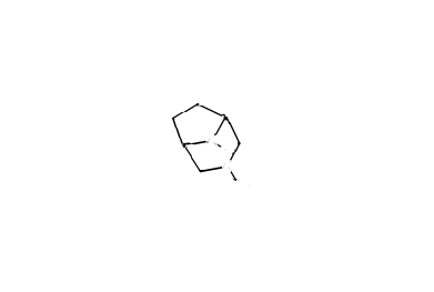 CC(=O)N1C2CCC1CN(C(C)(C)C)C2